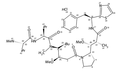 CC[C@H](C)[C@@H]([C@@H](CC(=O)N1CCC[C@H]1[C@H](OC)[C@@H](C)C(=O)N[C@@H](Cc1ccccc1)c1nccs1)OC)N(C)C(=O)[C@@H](NC(=O)[C@@H](NC)C(C)C)C(C)C.Cl